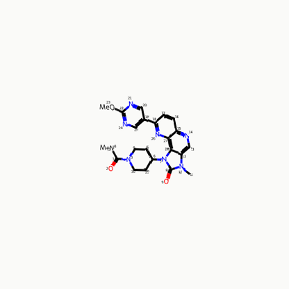 CNC(=O)N1CCC(n2c(=O)n(C)c3cnc4ccc(-c5cnc(OC)nc5)nc4c32)CC1